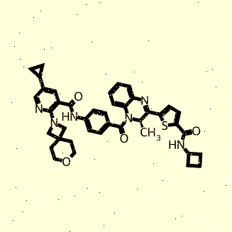 C[C@@H]1C(c2ccc(C(=O)NC3CCC3)s2)=Nc2ccccc2N1C(=O)c1ccc(NC(=O)c2cc(C3CC3)cnc2N2CC3(CCOCC3)C2)cc1